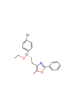 CCO[C@@H](CCc1nc(-c2ccccc2)oc1C)c1ccc(Br)cc1